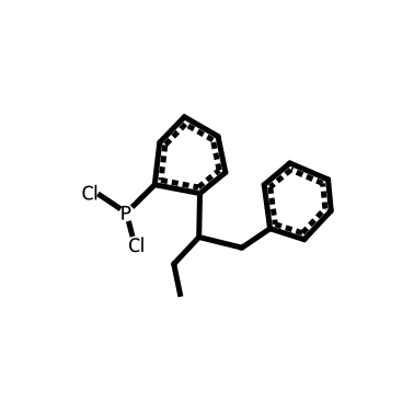 CCC(Cc1ccccc1)c1ccccc1P(Cl)Cl